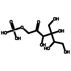 O=C(COP(=O)(O)O)C(O)C(O)(CO)C(O)CO